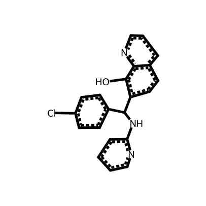 Oc1c(C(Nc2ccccn2)c2ccc(Cl)cc2)ccc2cccnc12